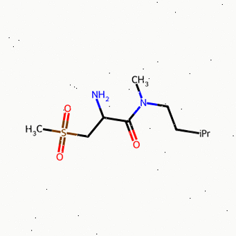 CC(C)CCN(C)C(=O)C(N)CS(C)(=O)=O